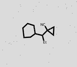 CCC(C1CCCCC1)C1(C#N)CC1